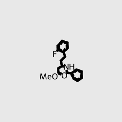 COC(=O)CC(CCc1ccccc1F)NCc1ccccc1